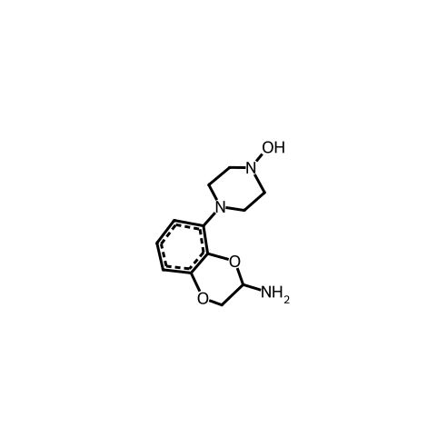 NC1COc2cccc(N3CCN(O)CC3)c2O1